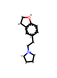 c1cc2c(cc1CCN1CCCC1)CCO2